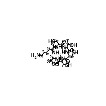 CC(NC(=O)C(CS)NC(=O)C(CS)NC(=O)C(NC(=O)C(CS)NC(=O)C(N)CCCCN)C(C)O)C(=O)O